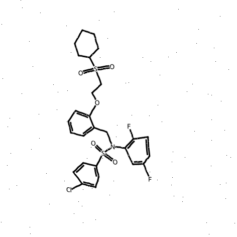 O=S(=O)(CCOc1ccccc1CN(c1cc(F)ccc1F)S(=O)(=O)c1ccc(Cl)cc1)C1CCCCC1